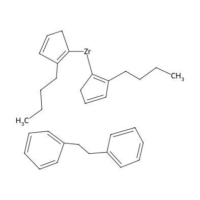 CCCCC1=[C]([Zr][C]2=C(CCCC)C=CC2)CC=C1.c1ccc(CCc2ccccc2)cc1